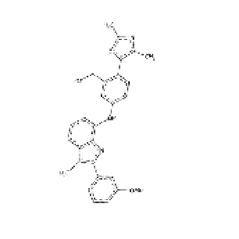 COc1cccc(-c2nc3c(Nc4ccc(-c5sc(C)nc5C)c(CO)c4)cccn3c2C)c1